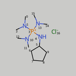 CN(C)[P+](NC1CCCC1)(N(C)C)N(C)C.[Cl-]